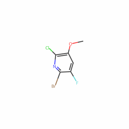 COc1cc(F)c(Br)nc1Cl